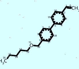 C=Cc1ccc(-c2ccc(COCCCCC)cc2)cc1